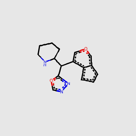 c1cc2cocc(C(c3nnco3)C3CCCCN3)c-2c1